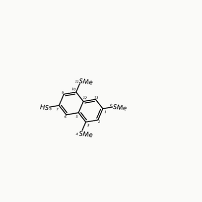 CSc1cc(SC)c2cc(S)cc(SC)c2c1